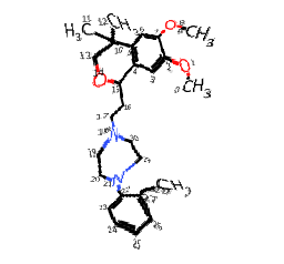 COc1cc2c(cc1OC)C(C)(C)COC2CCN1CCN(c2ccccc2C)CC1